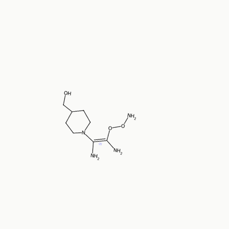 NOO/C(N)=C(/N)N1CCC(CO)CC1